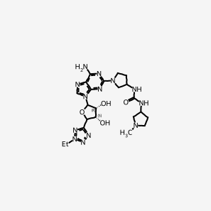 CCn1nnc(C2OC(n3cnc4c(N)nc(N5CCC(NC(=O)NC6CCN(C)C6)C5)nc43)[C@H](O)[C@@H]2O)n1